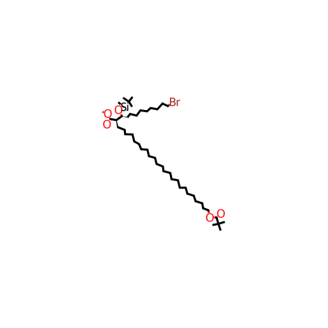 COC(=O)[C@H](CCCCCCCCCCCCCCCCCCCCCCCCOC(=O)C(C)(C)C)[C@@H](CCCCCCCCCBr)O[Si](C)(C)C(C)(C)C